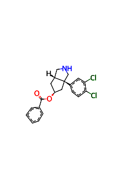 O=C(O[C@H]1C[C@@H]2CNC[C@]2(c2ccc(Cl)c(Cl)c2)C1)c1ccccc1